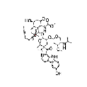 CC#C/C=C\C#C[C@H](OC1OC(C)C(SC)(C(=O)c2nccc3c2[nH]c2ccc(O)cc23)CC1OC1CC(OC)C(NC(C)C)CO1)C1=C(NC(=O)OC)C(=O)C[C@H](O)/C1=C/CS(C)(=S)=S